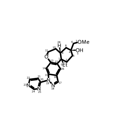 CC[C@]12CC[C@@](O)(COC)C[C@H]1CCOc1cc3c(cnn3-c3ccncn3)cc12